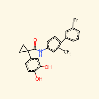 CC(C)c1cccc(-c2ccc(NC(=O)C3(c4ccc(O)c(O)c4)CC3)cc2C(F)(F)F)c1